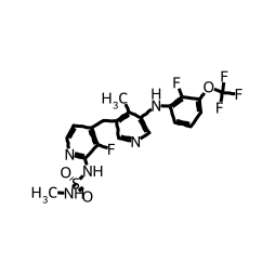 CNS(=O)(=O)Nc1nccc(Cc2cncc(Nc3cccc(OC(F)(F)F)c3F)c2C)c1F